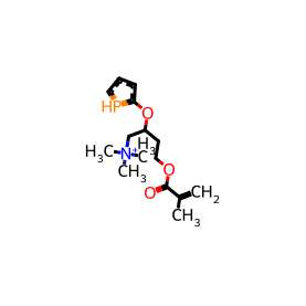 C=C(C)C(=O)OCCC(C[N+](C)(C)C)Oc1ccc[pH]1